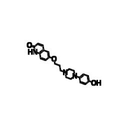 O=c1ccc2cc(OCCCN3CCN(c4ccc(O)cc4)CC3)ccc2[nH]1